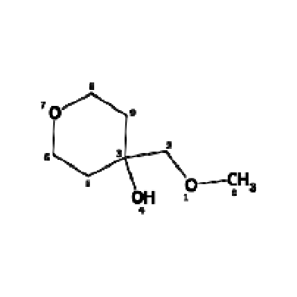 COCC1(O)CCOCC1